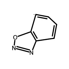 [c]1cccc2nnoc12